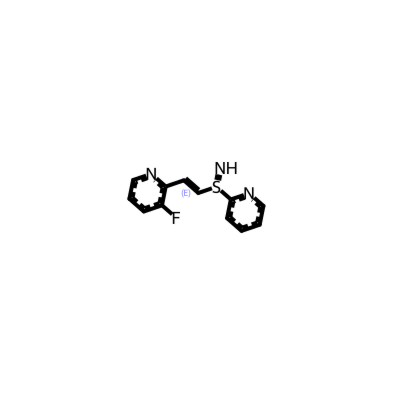 N=S(/C=C/c1ncccc1F)c1ccccn1